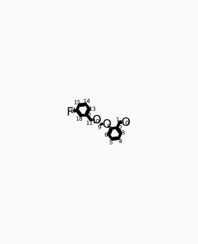 O=Cc1ccccc1OCOCc1cccc(F)c1